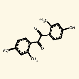 Cc1cc(O)ccc1C(=O)C(=O)c1ccc(O)cc1C